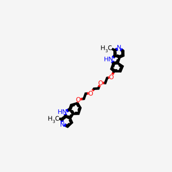 Cc1nccc2c1[nH]c1cc(OCCOCCOCCOc3ccc4c(c3)[nH]c3c(C)nccc34)ccc12